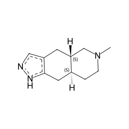 CN1CC[C@H]2Cc3[nH]ncc3C[C@@H]2C1